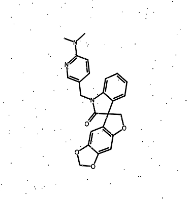 CN(C)c1ccc(CN2C(=O)C3(COc4cc5c(cc43)OCO5)c3ccccc32)cn1